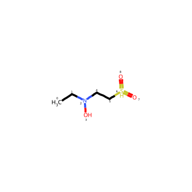 CCN(O)CC[SH](=O)=O